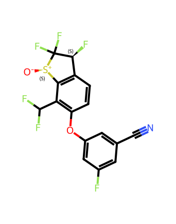 N#Cc1cc(F)cc(Oc2ccc3c(c2C(F)F)[S@@+]([O-])C(F)(F)[C@H]3F)c1